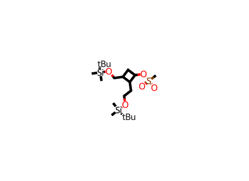 CC(C)(C)[Si](C)(C)OCCC1C(CO[Si](C)(C)C(C)(C)C)CC1OS(C)(=O)=O